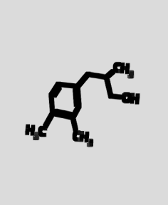 Cc1ccc(CC(C)CO)cc1C